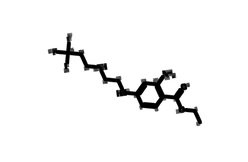 CCOC(=O)c1ccc(NCCNCCC(F)(F)F)cc1N